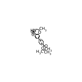 C[C@@H]1CNS(=O)(=O)c2ccc(N3CCN(C(=O)OC(C)(C)C)CC3)cc2O1